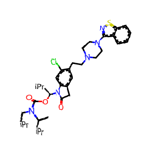 CC(C)CN(C(=O)OC(C(C)C)N1C(=O)Cc2cc(CCN3CCN(c4nsc5ccccc45)CC3)c(Cl)cc21)C(C)C(C)C